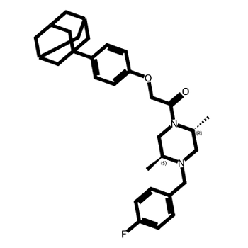 C[C@@H]1CN(Cc2ccc(F)cc2)[C@@H](C)CN1C(=O)COc1ccc(C23CC4CC(CC(C4)C2)C3)cc1